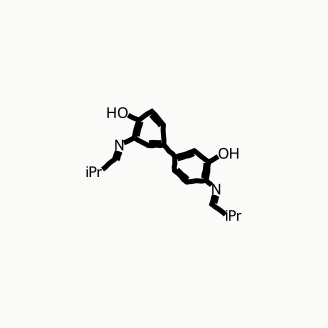 CC(C)C=Nc1ccc(-c2ccc(O)c(N=CC(C)C)c2)cc1O